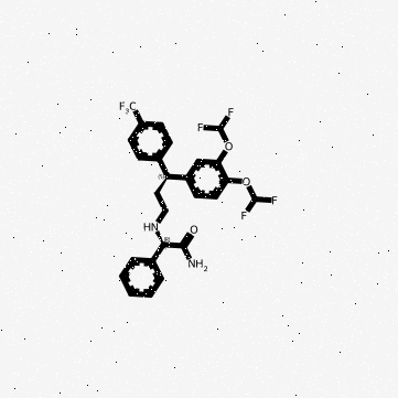 NC(=O)[C@H](NCC[C@@H](c1ccc(C(F)(F)F)cc1)c1ccc(OC(F)F)c(OC(F)F)c1)c1ccccc1